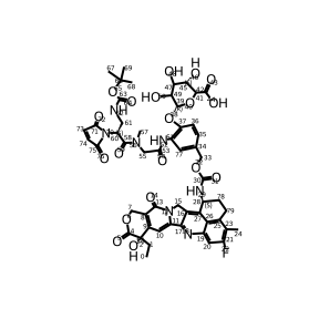 CC[C@@]1(O)C(=O)OCc2c1cc1n(c2=O)Cc2c-1nc1cc(F)c(C)c3c1c2[C@@H](NC(=O)OCc1ccc(O[C@H]2OC(C(=O)O)[C@@H](O)C(O)C2O)c(NC(=O)CN(C)C(=O)[C@H](CNC(=O)OC(C)(C)C)N2C(=O)C=CC2=O)c1)CC3